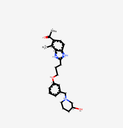 CNC(=O)c1ccc2[nH]c(CCCOc3cccc(CN4CCCC(O)C4)c3)nc2c1C